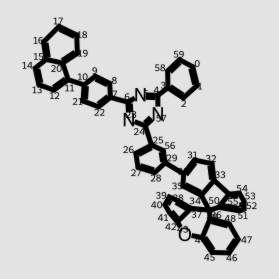 c1ccc(-c2nc(-c3ccc(-c4cccc5ccccc45)cc3)nc(-c3cccc(-c4ccc5c(c4)C4(c6ccccc6Oc6ccccc64)c4ccccc4-5)c3)n2)cc1